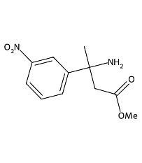 COC(=O)CC(C)(N)c1cccc([N+](=O)[O-])c1